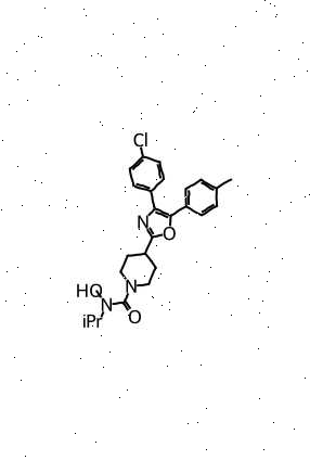 Cc1ccc(-c2oc(C3CCN(C(=O)N(O)C(C)C)CC3)nc2-c2ccc(Cl)cc2)cc1